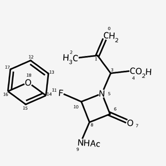 C=C(C)C(C(=O)O)N1C(=O)C(NC(C)=O)C1F.c1cc2cc(c1)O2